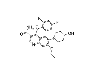 CCOc1cc2ncc(C(N)=O)c(Nc3ccc(F)cc3F)c2cc1N1CCC(O)CC1